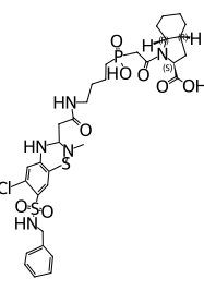 CN1Sc2cc(S(=O)(=O)NCc3ccccc3)c(Cl)cc2NC1CC(=O)NCCCCP(=O)(O)CC(=O)N1[C@@H]2CCCC[C@@H]2C[C@H]1C(=O)O